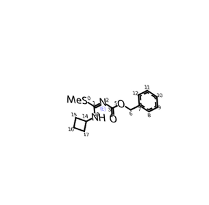 CS/C(=N/C(=O)OCc1ccccc1)NC1CCC1